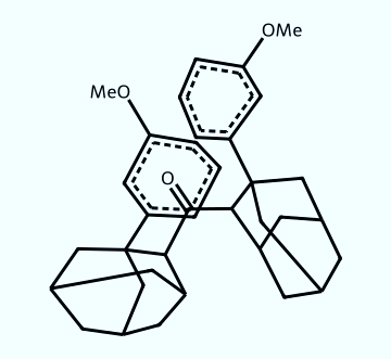 COc1cccc(C23CC4CC(CC(C4)C2C(=O)C2C4CC5CC(C4)CC2(c2cccc(OC)c2)C5)C3)c1